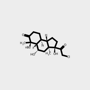 CCCC[C@@]1(C)C(=O)CC[C@H]2[C@@H]3CC[C@](O)(C(=O)CCl)[C@@]3(C)C[C@H](O)[C@@]21F